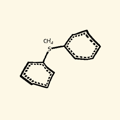 C.c1ccc(Sc2ccccc2)cc1